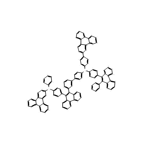 c1ccc(-c2c(-c3ccc(N(c4ccc(-c5cccc(-c6c(-c7ccc(N(c8ccccc8)c8ccc9c%10ccccc%10c%10ccccc%10c9c8)cc7)c7ccccc7c7ccccc67)c5)cc4)c4ccc(-c5ccc6c7ccccc7c7ccccc7c6c5)cc4)cc3)c3ccccc3c3ccccc23)cc1